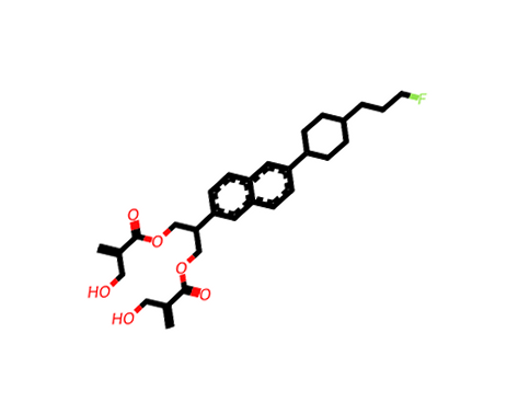 C=C(CO)C(=O)OCC(COC(=O)C(=C)CO)c1ccc2cc(C3CCC(CCCF)CC3)ccc2c1